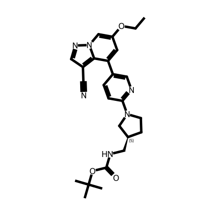 CCOc1cc(-c2ccc(N3CC[C@@H](CNC(=O)OC(C)(C)C)C3)nc2)c2c(C#N)cnn2c1